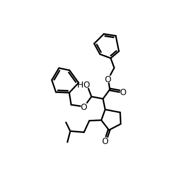 CC(C)CCC1C(=O)CCC1C(C(=O)OCc1ccccc1)C(O)OCc1ccccc1